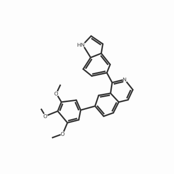 COc1cc(-c2ccc3ccnc(-c4ccc5[nH]ccc5c4)c3c2)cc(OC)c1OC